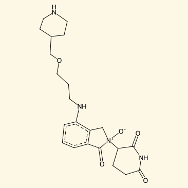 O=C1CCC([N+]2([O-])Cc3c(NCCCOCC4CCNCC4)cccc3C2=O)C(=O)N1